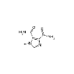 Cn1cnc(C(N)=O)c1C(N)=O